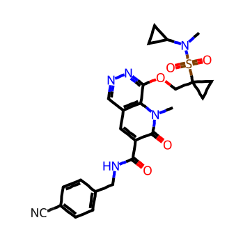 CN(C1CC1)S(=O)(=O)C1(COc2nncc3cc(C(=O)NCc4ccc(C#N)cc4)c(=O)n(C)c23)CC1